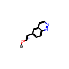 CCO/C=C/c1ccc2nnccc2c1